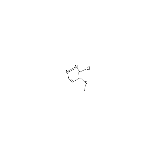 CSc1ccnnc1Cl